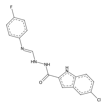 O=C(NNC=Nc1ccc(F)cc1)c1cc2cc(Cl)ccc2[nH]1